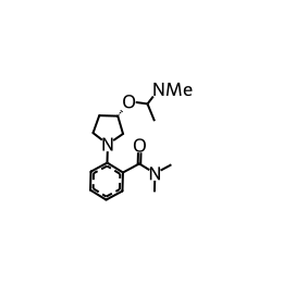 CNC(C)O[C@H]1CCN(c2ccccc2C(=O)N(C)C)C1